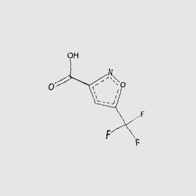 O=C(O)c1cc(C(F)(F)F)on1